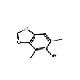 Cc1cc2c(c(C)c1C(C)C)OCO2